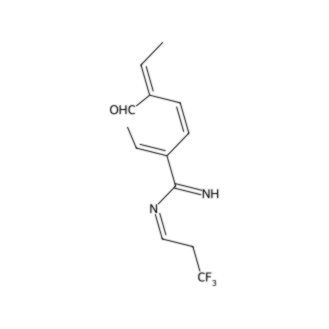 C\C=C(C=O)/C=C\C(=C/C)C(=N)/N=C\CC(F)(F)F